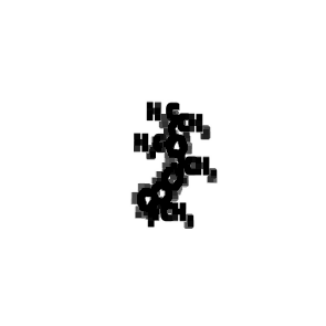 C=C(c1ccc(CC(C)C)c(C)c1)N1CCC2(CC1)Cc1cccc(F)c1C(C)C2